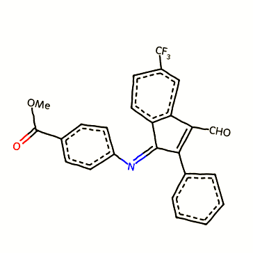 COC(=O)c1ccc(/N=C2/C(c3ccccc3)=C(C=O)c3cc(C(F)(F)F)ccc32)cc1